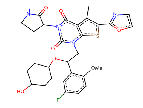 COc1ccc(F)cc1C(Cn1c(=O)n(C2CCNC2=O)c(=O)c2c(C)c(-c3ncco3)sc21)OC1CCC(O)CC1